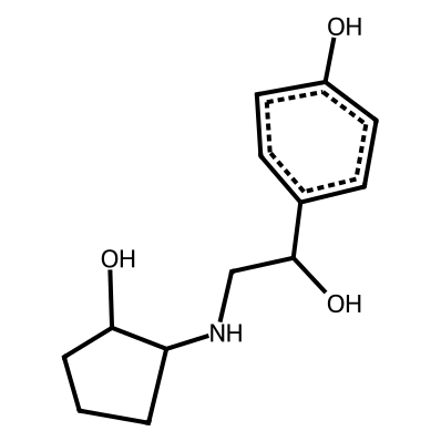 Oc1ccc(C(O)CNC2CCCC2O)cc1